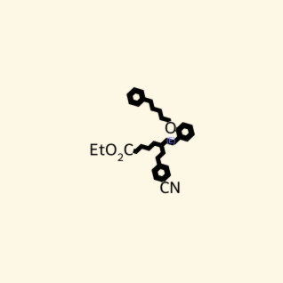 CCOC(=O)CCCCC(/C=C/c1ccccc1OCCCCCc1ccccc1)CCc1ccc(C#N)cc1